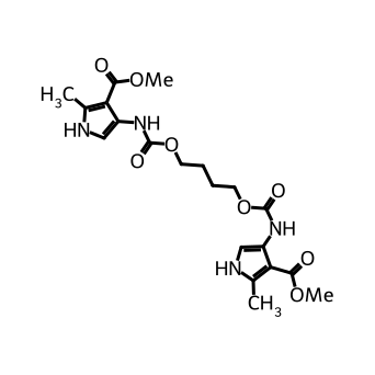 COC(=O)c1c(NC(=O)OCCCCOC(=O)Nc2c[nH]c(C)c2C(=O)OC)c[nH]c1C